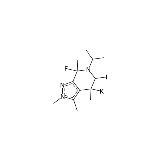 Cc1c2c(nn1C)C(C)(F)N(C(C)C)C(I)[C]2(C)[K]